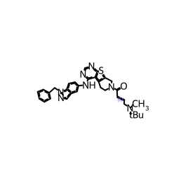 CN(C/C=C/C(=O)N1CCc2c(sc3ncnc(Nc4ccc5c(cnn5Cc5ccccc5)c4)c23)C1)C(C)(C)C